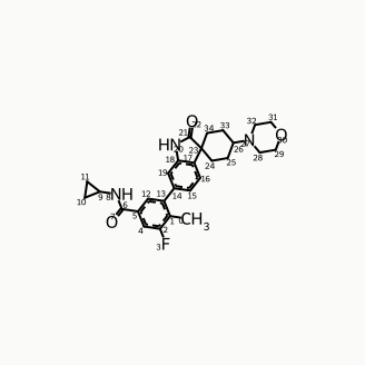 Cc1c(F)cc(C(=O)NC2CC2)cc1-c1ccc2c(c1)NC(=O)C21CCC(N2CCOCC2)CC1